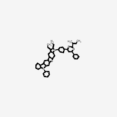 C/C=c1\c(=C/C)n(-c2ccc(-c3cc(-c4ccccc4)nc(/C(C)=C/C)n3)cc2)c2cc3sc4cc5c(cc4c3cc12)c1ccccc1n5-c1ccccc1